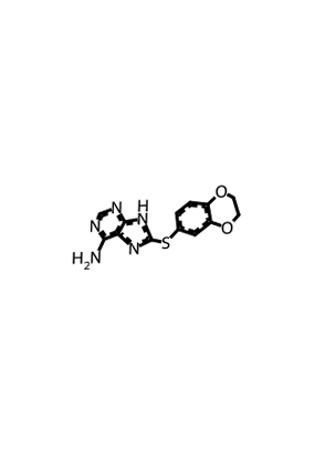 Nc1ncnc2[nH]c(Sc3ccc4c(c3)OCCO4)nc12